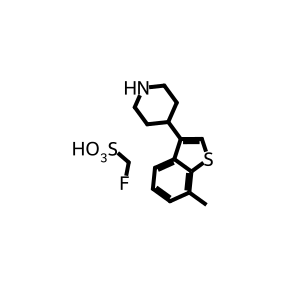 Cc1cccc2c(C3CCNCC3)csc12.O=S(=O)(O)CF